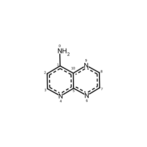 Nc1ccnc2nccnc12